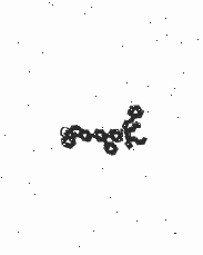 C=C/C=C(\C=C/Cc1ccccc1)N(/C(C=C)=C/C=C\C)c1ccc(-c2ccc(-c3ccc4c(ccc5oc6ccccc6c54)c3)cc2-c2ccccc2)cc1